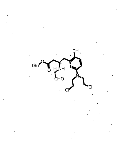 Cc1ccc(N(CCCl)CCCl)cc1C[C@H](CC(=O)OC(C)(C)C)NBC=O